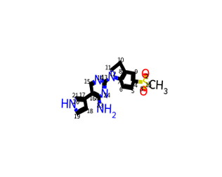 CS(=O)(=O)c1ccc2c(c1)CCN2c1ncc(-c2cc[nH]c2)c(N)n1